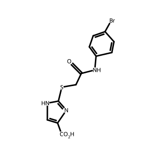 O=C(CSc1nc(C(=O)O)c[nH]1)Nc1ccc(Br)cc1